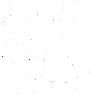 CCCCCCC=CCCO